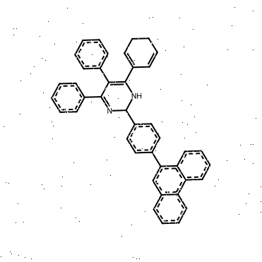 C1=CC(C2=C(c3ccccc3)C(c3ccccc3)=NC(c3ccc(-c4cc5ccccc5c5ccccc45)cc3)N2)=CCC1